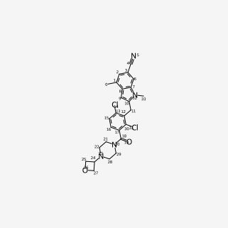 Cc1cc(C#N)cc2c1cc(Cc1c(Cl)ccc(C(=O)N3CCN(C4COC4)CC3)c1Cl)n2C